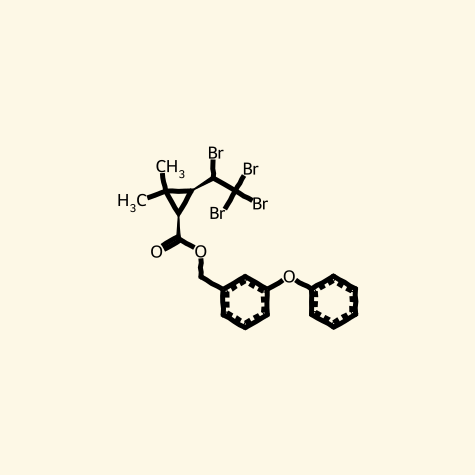 CC1(C)[C@H](C(=O)OCc2cccc(Oc3ccccc3)c2)[C@@H]1C(Br)C(Br)(Br)Br